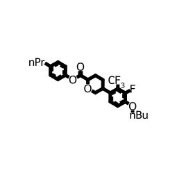 CCCCOc1ccc(C2CCC(C(=O)Oc3ccc(CCC)cc3)OC2)c(C(F)(F)F)c1F